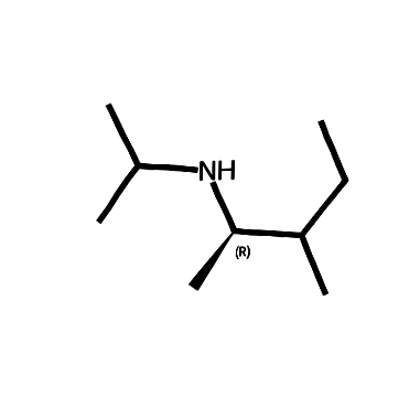 CCC(C)[C@@H](C)NC(C)C